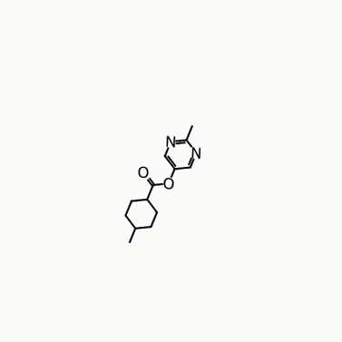 Cc1ncc(OC(=O)C2CCC(C)CC2)cn1